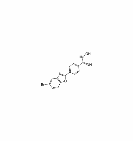 N=C(NO)c1ccc(-c2nc3cc(Br)ccc3o2)cc1